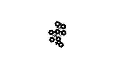 CC1(C)c2ccccc2-c2cc3c(cc21)B1c2c(cc(N4c5ccccc5C5(C)CCCCC45C)c4c5ccccc5n-3c24)-c2ccccc2N1c1ccccc1